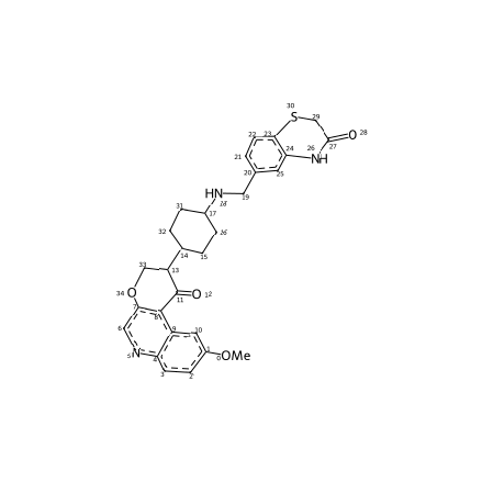 COc1ccc2ncc3c(c2c1)C(=O)C(C1CCC(NCc2ccc4c(c2)NC(=O)CS4)CC1)CO3